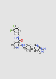 O=C(NCc1ccc(F)c(F)c1)c1cccnc1NCc1ccc(-c2cnc3[nH]ncc3c2)cc1